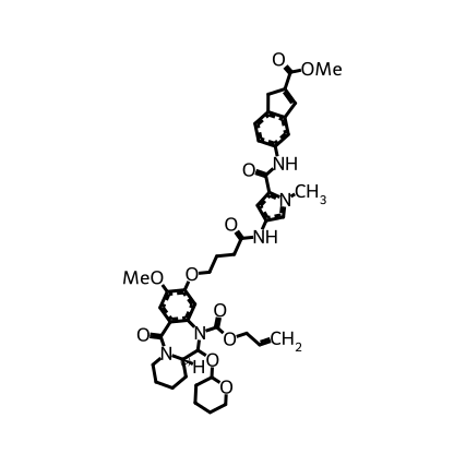 C=CCOC(=O)N1c2cc(OCCCC(=O)Nc3cc(C(=O)Nc4ccc5c(c4)C=C(C(=O)OC)C5)n(C)c3)c(OC)cc2C(=O)N2CCCC[C@H]2C1OC1CCCCO1